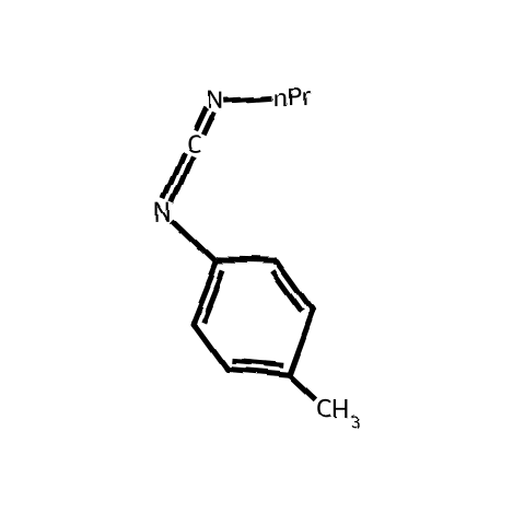 CCCN=C=Nc1ccc(C)cc1